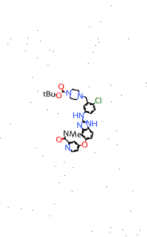 CNC(=O)c1cc(Oc2ccc3[nH]c(Nc4ccc(Cl)c(CN5CCN(C(=O)OC(C)(C)C)CC5)c4)nc3c2)ccn1